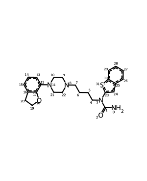 NC(=O)N(CCCCN1CCN(c2cccc3c2OCC3)CC1)c1cc2ccccc2s1